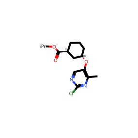 Cc1nc(Cl)ncc1O[C@H]1CCC[C@H](C(=O)OC(C)C)C1